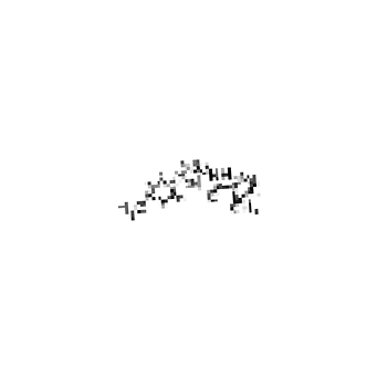 Cc1ccc(-c2csc(NC(=O)c3cncn3C)n2)cc1